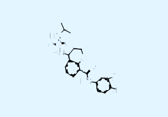 CC(C)NS(=O)(=O)NC1CCOc2c(C(=O)Nc3ccc(F)c(F)c3)cccc21